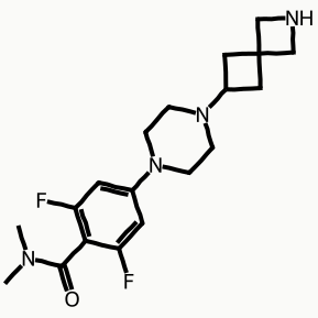 CN(C)C(=O)c1c(F)cc(N2CCN(C3CC4(CNC4)C3)CC2)cc1F